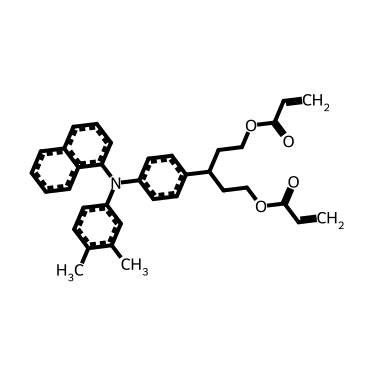 C=CC(=O)OCCC(CCOC(=O)C=C)c1ccc(N(c2ccc(C)c(C)c2)c2cccc3ccccc23)cc1